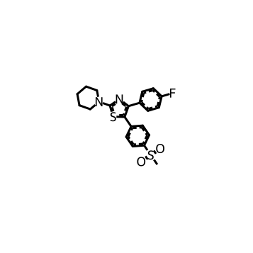 CS(=O)(=O)c1ccc(-c2sc(N3CCCCC3)nc2-c2ccc(F)cc2)cc1